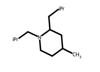 CC(C)CC1CC(C)CCN1CC(C)C